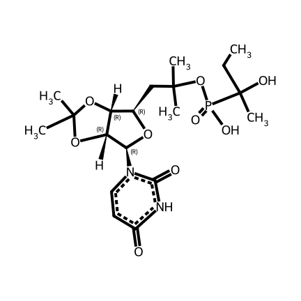 CCC(C)(O)P(=O)(O)OC(C)(C)C[C@H]1O[C@@H](n2ccc(=O)[nH]c2=O)[C@@H]2OC(C)(C)O[C@@H]21